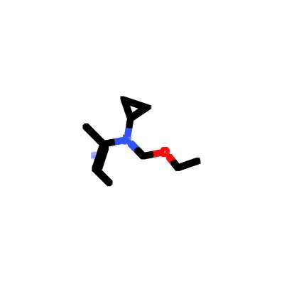 C/C=C(/C)N(COCC)C1CC1